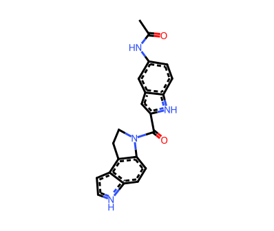 CC(=O)Nc1ccc2[nH]c(C(=O)N3CCc4c3ccc3[nH]ccc43)cc2c1